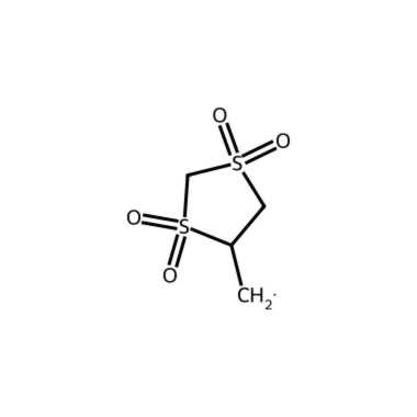 [CH2]C1CS(=O)(=O)CS1(=O)=O